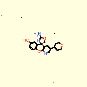 NC1=N[C@@]2(CO1)c1cc(O)ccc1Oc1ncc(C3=CCOCC3)cc12